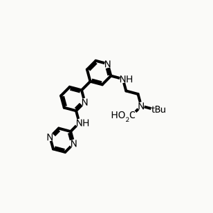 CC(C)(C)N(CCNc1cc(-c2cccc(Nc3cnccn3)n2)ccn1)C(=O)O